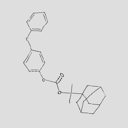 CC(C)(OC(=O)Oc1ccc([I+]c2ccccc2)cc1)C12CC3CC(CC(C3)C1)C2